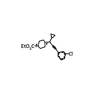 CCOC(=O)N1CCN(C(C#Cc2cccc(Cl)c2)C2CC2)CC1